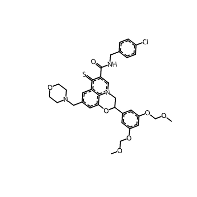 COCOc1cc(OCOC)cc(C2Cn3cc(C(=O)NCc4ccc(Cl)cc4)c(=S)c4cc(CN5CCOCC5)cc(c43)O2)c1